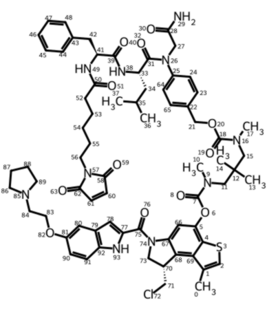 Cc1csc2c(OC(=O)N(C)CC(C)(C)CN(C)C(=O)OCc3ccc(N(CC(N)=O)C(=O)[C@H](CC(C)C)NC(=O)[C@H](Cc4ccccc4)NC(=O)CCCCCN4C(=O)C=CC4=O)cc3)cc3c(c12)[C@H](CCl)CN3C(=O)c1cc2cc(OCCN3CCCC3)ccc2[nH]1